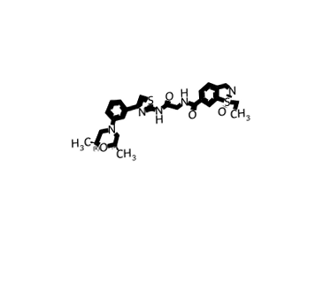 CCS1(=O)=NCc2ccc(C(=O)NCC(=O)Nc3nc(-c4cccc(N5C[C@@H](C)O[C@@H](C)C5)c4)cs3)cc21